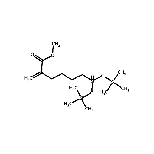 C=C(CCCC[SiH](O[Si](C)(C)C)O[Si](C)(C)C)C(=O)OC